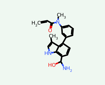 C=CC(=O)N(C)c1cccc(-c2ccc(C(N)O)c3[nH]cc(C)c23)c1